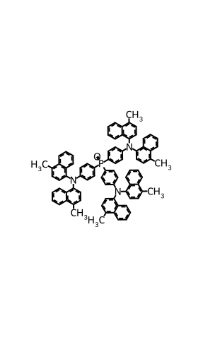 Cc1ccc(N(c2ccc(P(=O)(c3ccc(N(c4ccc(C)c5ccccc45)c4ccc(C)c5ccccc45)cc3)c3ccc(N(c4ccc(C)c5ccccc45)c4ccc(C)c5ccccc45)cc3)cc2)c2ccc(C)c3ccccc23)c2ccccc12